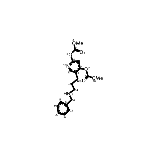 COC(=O)Oc1cc(OC(=O)OC)c(CCCNCc2ccccc2)cn1